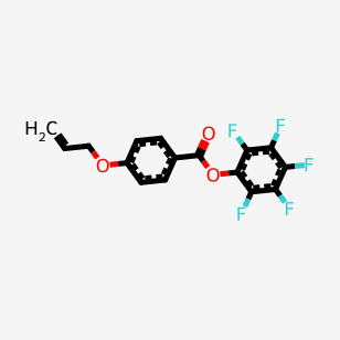 C=CCOc1ccc(C(=O)Oc2c(F)c(F)c(F)c(F)c2F)cc1